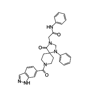 O=C(CN1CN(c2ccccc2)C2(CCN(C(=O)c3ccc4cn[nH]c4c3)CC2)C1=O)Nc1ccccc1